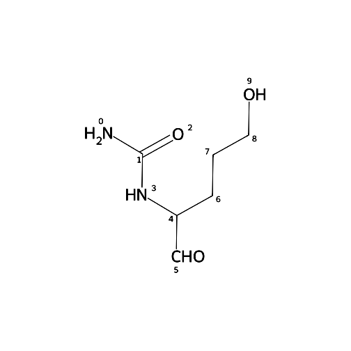 NC(=O)NC(C=O)CCCO